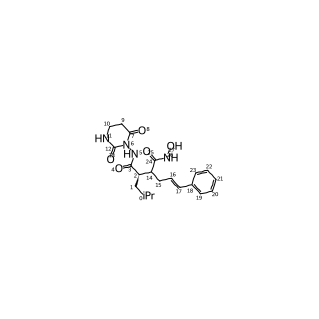 CC(C)C[C@@H](C(=O)NN1C(=O)CCNC1=O)C(C/C=C/c1ccccc1)C(=O)NO